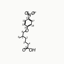 CC(CCCC(=O)O)COc1ccc([N+](=O)[O-])cc1